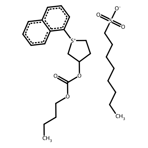 CCCCCCCCS(=O)(=O)[O-].CCCCOC(=O)OC1CC[S+](c2cccc3ccccc23)C1